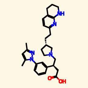 Cc1cc(C)n(-c2cccc([C@H](CC(=O)O)CN3CC[C@H](CCc4ccc5c(n4)NCCC5)C3)c2)n1